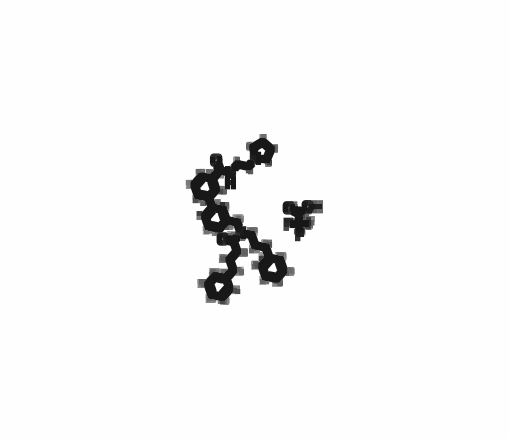 O=C(NCCN1CCCC1)c1cccc(-c2cccc(CN(CCCc3ccccc3)C(=O)CCCc3ccccc3)c2)c1.O=C(O)C(F)(F)F